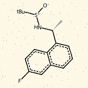 C[C@@H](N[S+]([O-])C(C)(C)C)c1cccc2cc(F)ccc12